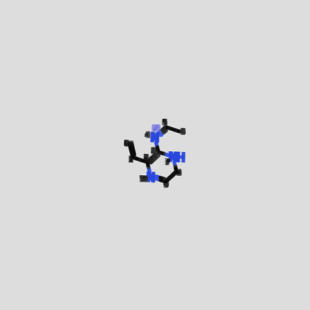 C=CC1=C(/N=C\C)NCC=N1